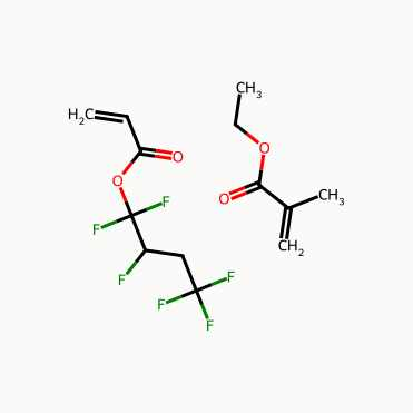 C=C(C)C(=O)OCC.C=CC(=O)OC(F)(F)C(F)CC(F)(F)F